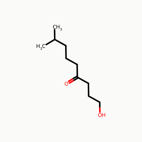 CC(C)CCCC(=O)CCCO